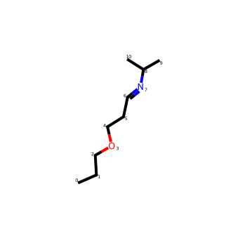 CCCOCC/C=N/C(C)C